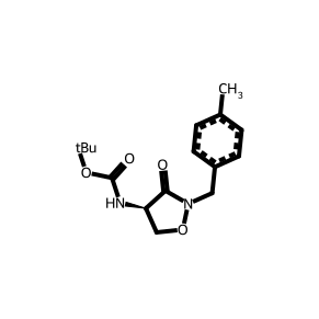 Cc1ccc(CN2OC[C@@H](NC(=O)OC(C)(C)C)C2=O)cc1